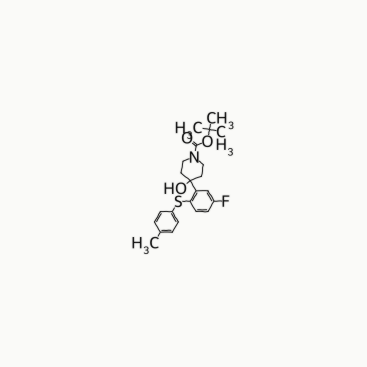 Cc1ccc(Sc2ccc(F)cc2C2(O)CCN(C(=O)OC(C)(C)C)CC2)cc1